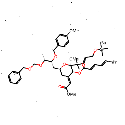 CCCC=CC=CC(=O)O[C@H]1C(=CC(=O)OC)C[C@@H](C[C@@H](OCc2ccc(OC)cc2)[C@@H](C)OCOCc2ccccc2)O[C@@]1(OC)C(C)(C)C=CCO[Si](C)(C)C(C)(C)C